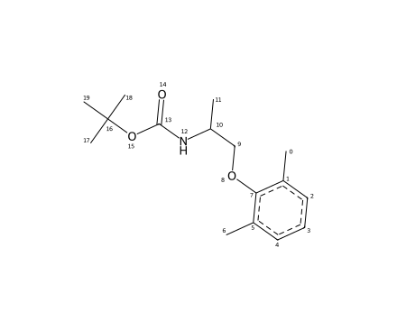 Cc1cccc(C)c1OCC(C)NC(=O)OC(C)(C)C